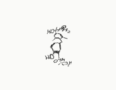 Cc1cc(C(C)(O)[PH2]=O)cc(C)c1Cc1ccc(O)c(C(=O)NC(C)C(=O)O)c1